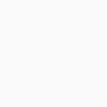 COC(=O)c1cc(-c2nc3ccccc3n2CCc2ccc(F)cc2)ncc1O